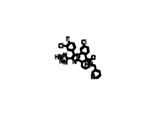 O=C(Cc1ccc(Cl)cc1-n1c(C2CCCCC2)nc(-c2nn[nH]n2)c1-c1ccc(F)c(Cl)c1)NCc1cccnc1